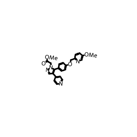 COC(=O)Cn1ncc(-c2ccncc2)c1-c1ccc(OCc2ccc(OC)cn2)cc1